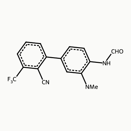 CNc1cc(-c2cccc(C(F)(F)F)c2C#N)ccc1NC=O